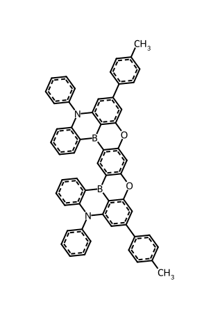 Cc1ccc(-c2cc3c4c(c2)N(c2ccccc2)c2ccccc2B4c2cc4c(cc2O3)Oc2cc(-c3ccc(C)cc3)cc3c2B4c2ccccc2N3c2ccccc2)cc1